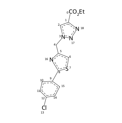 CCOC(=O)c1cn(Cc2csc(-c3ccc(Cl)cc3)n2)nn1